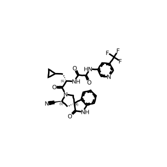 N#C[C@@H]1C[C@@]2(CN1C(=O)[C@H](CC1CC1)NC(=O)C(=O)Nc1cncc(C(F)(F)F)c1)C(=O)Nc1ccccc12